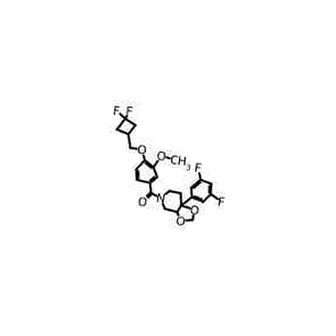 COc1cc(C(=O)N2CCC3(c4cc(F)cc(F)c4)OCOC3C2)ccc1OCC1CC(F)(F)C1